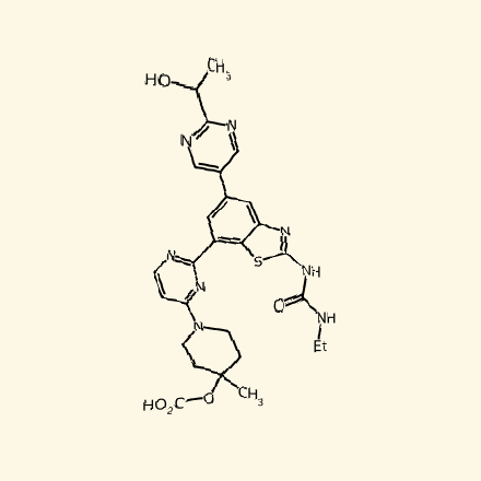 CCNC(=O)Nc1nc2cc(-c3cnc(C(C)O)nc3)cc(-c3nccc(N4CCC(C)(OC(=O)O)CC4)n3)c2s1